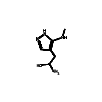 CNc1[nH]ncc1CC(N)O